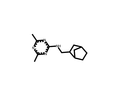 Cc1nc(C)nc(NCC2CC3CCC2C3)n1